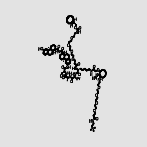 CC(C)[C@H](NC(=O)[C@@H](CCCCCNC(=O)COC1CCCCC/C(NCCOCCOCCOCCOCCC(=O)NCC[N+](C)(C)C)=C\1N=N)NC(=O)CCOCCOCCOCCOCCNC(=O)OC[C@@H]1[C@@H]2CCC#CCC[C@@H]21)C(=O)N[C@@H](C)C(=O)N[C@@H](CO)C(=O)Nc1ccc2c(c1)[C@@]1(C)CCC[C@](C)(C(=O)NC(=O)[C@@]3(C)CCC[C@]4(C)c5cc(O)ccc5CC[C@@H]34)[C@@H]1CC2